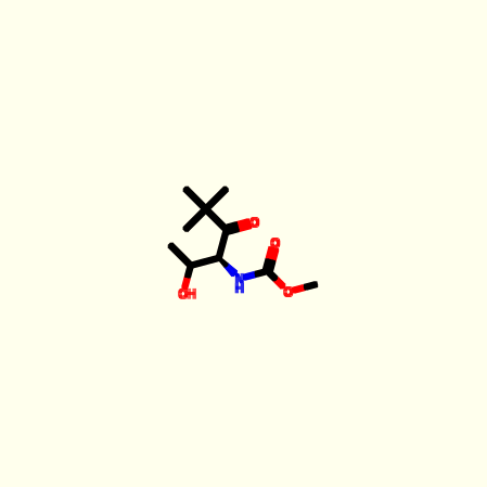 COC(=O)N[C@H](C(=O)C(C)(C)C)C(C)O